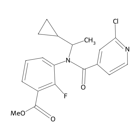 COC(=O)c1cccc(N(C(=O)c2ccnc(Cl)c2)C(C)C2CC2)c1F